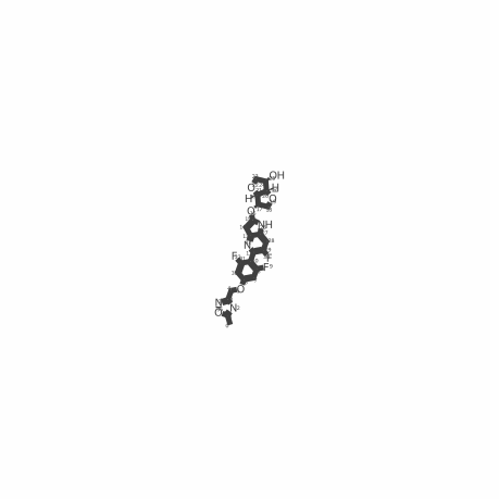 Cc1nc(COc2cc(F)c(-c3nc4cc(O[C@@H]5CO[C@H]6[C@@H]5OC[C@H]6O)[nH]c4cc3F)c(F)c2)no1